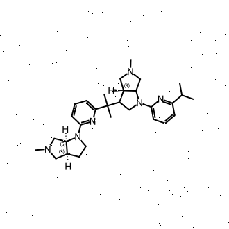 CC(C)c1cccc(N2CC(C(C)(C)c3cccc(N4CC[C@H]5CN(C)C[C@H]54)n3)[C@@H]3CN(C)CC32)n1